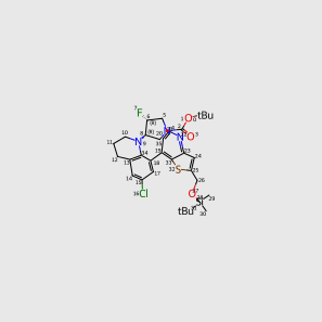 CC(C)(C)OC(=O)N1C[C@@H](F)[C@H](N2CCCc3cc(Cl)cc(-c4ccnc5cc(CO[Si](C)(C)C(C)(C)C)sc45)c32)C1